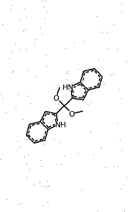 COC(OC)(c1cc2ccccc2[nH]1)c1cc2ccccc2[nH]1